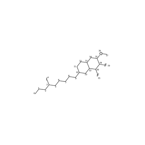 CCCC(I)CCCCCC1CCC2CC(OC)C(F)C(F)C2C1